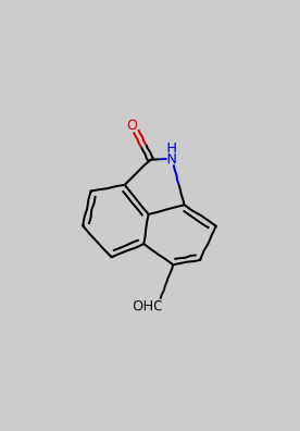 O=Cc1ccc2c3c(cccc13)C(=O)N2